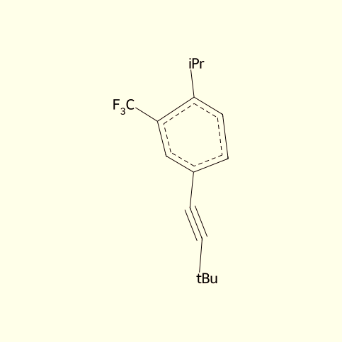 CC(C)c1ccc(C#CC(C)(C)C)cc1C(F)(F)F